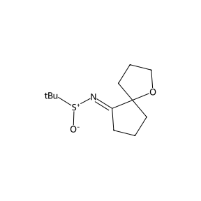 CC(C)(C)[S+]([O-])N=C1CCCC12CCCO2